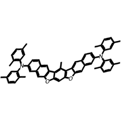 Cc1ccc(C)c(N(c2ccc3cc4c(cc3c2)oc2cc3oc5cc6cc(N(c7cc(C)ccc7C)c7cc(C)ccc7C)ccc6cc5c3c(C)c24)c2cc(C)ccc2C)c1